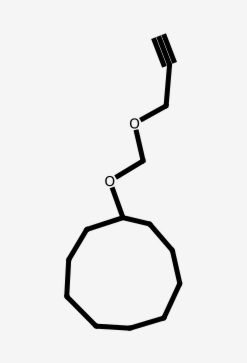 C#CCOCOC1CCCCCCCCC1